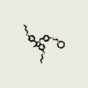 CCCCOc1ccc(-c2c(C)c3cc(OCCCC)ccc3n2Cc2ccc(OCCN3CCCCCC3)cc2)cc1